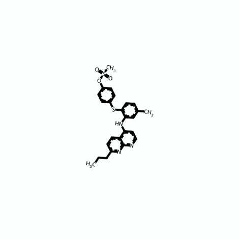 CCCc1ccc2c(Nc3cc(C)ccc3Sc3ccc(OS(C)(=O)=O)cc3)ccnc2n1